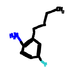 CCCCc1cc(F)ccc1N